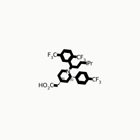 CC(C)CCC(c1cc(C(F)(F)F)ccc1C(F)(F)F)N1CC[C@@H](CC(=O)O)C[C@H]1c1ccc(C(F)(F)F)cc1